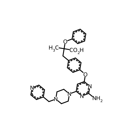 CC(Cc1ccc(Oc2cc(N3CCN(Cc4ccncc4)CC3)nc(N)n2)cc1)(Oc1ccccc1)C(=O)O